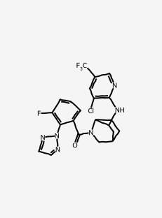 O=C(c1cccc(F)c1-n1nccn1)N1CC2CCC1C(Nc1ncc(C(F)(F)F)cc1Cl)C2